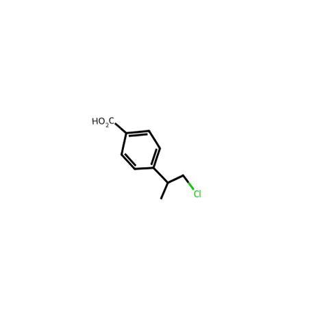 CC(CCl)c1ccc(C(=O)O)cc1